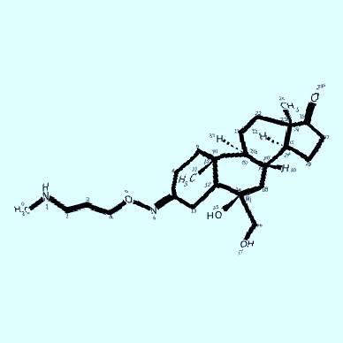 CNCCCON=C1CC[C@@]2(C)C(C1)[C@@](O)(CO)C[C@@H]1[C@@H]2CC[C@]2(C)C(=O)CC[C@@H]12